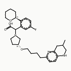 CC1CNc2ccc(CCCCO[C@@H]3CCN(C(C(=O)O)c4cc(F)ccc4[C@@H]4CCCCO4)C3)nc2C1